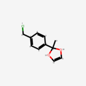 CC1(c2ccc(CCl)cc2)OC=CO1